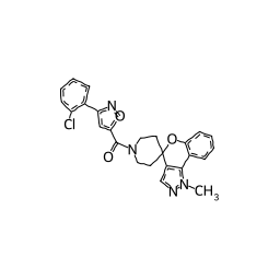 Cn1ncc2c1-c1ccccc1OC21CCN(C(=O)c2cc(-c3ccccc3Cl)no2)CC1